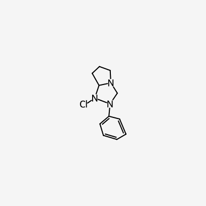 ClN1C2CCCN2CN1c1ccccc1